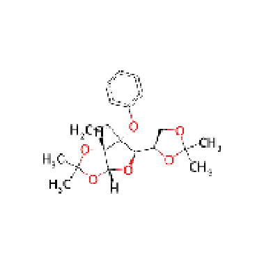 C=C[C@@]1(Oc2ccccc2)[C@@H]([C@H]2COC(C)(C)O2)O[C@@H]2OC(C)(C)O[C@@H]21